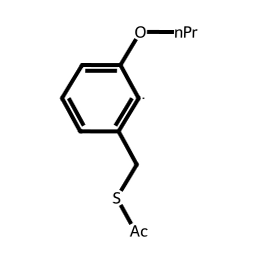 CCCOc1[c]c(CSC(C)=O)ccc1